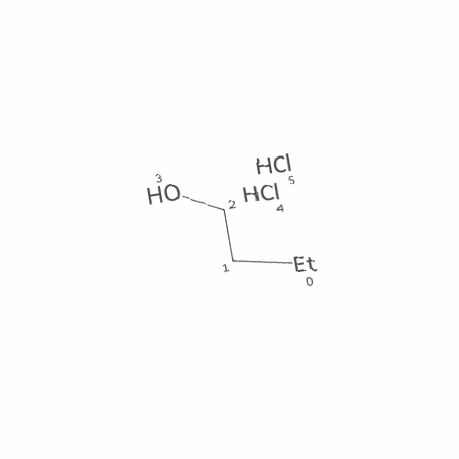 CCCCO.Cl.Cl